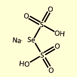 O=S(=O)(O)[Se]S(=O)(=O)O.[Na]